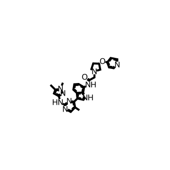 Cc1cnc(Nc2cc(C)n(C)n2)nc1-c1c[nH]c2c(NC(=O)CN3CCC(Oc4ccncc4)C3)cccc12